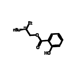 CCCC[C@@H](CC)COC(=O)c1ccccc1O